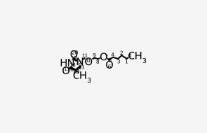 CCCCCC(=O)OCCOCn1cc(C)c(=O)[nH]c1=O